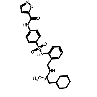 C[C@@H](CC1CCCCC1)NCc1ccccc1NS(=O)(=O)c1ccc(NC(=O)c2ccno2)cc1